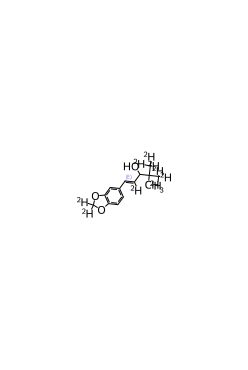 [2H]/C(=C\c1ccc2c(c1)OC([2H])([2H])O2)C(O)C(C)(C([2H])([2H])[2H])C([2H])([2H])[2H]